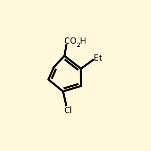 CCc1cc(Cl)ccc1C(=O)O